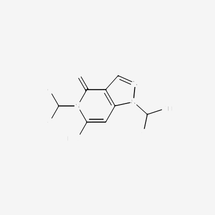 Cc1cc2c(cnn2C(C)C)c(=O)n1C(C)C